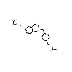 C[C@H](NC(=O)CO)c1ccc(CN2CCc3cc(OC[C@@H]4CC4(F)F)ccc3C2)cc1